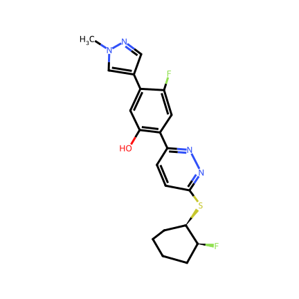 Cn1cc(-c2cc(O)c(-c3ccc(S[C@@H]4CCCC[C@@H]4F)nn3)cc2F)cn1